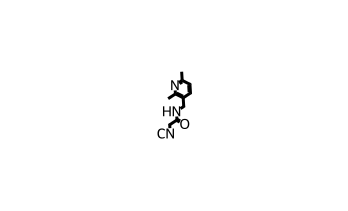 Cc1ccc(CNC(=O)CC#N)c(C)n1